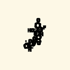 C[C@@H]1C[C@H]2[C@@H]3C[C@H](F)C4=CC(=O)C=C[C@]4(C)C3(F)[C@@H](O)C[C@]2(C)[C@]1(OC(=O)O[C@H]1C[C@H]2CC[C@]1(C)C2(C)C)C(=O)OCC#N